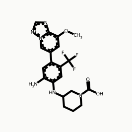 COc1cc(-c2cc(N)c(NC3CCCN(C(=O)O)C3)cc2C(F)(F)F)cn2ncnc12